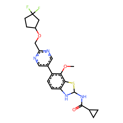 COc1c(-c2cnc(COC3CCC(F)(F)C3)nc2)ccc2c1SC(NC(=O)C1CC1)N2